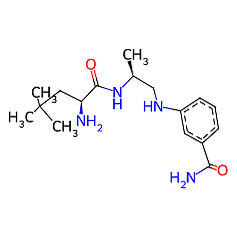 C[C@@H](CNc1cccc(C(N)=O)c1)NC(=O)[C@@H](N)CC(C)(C)C